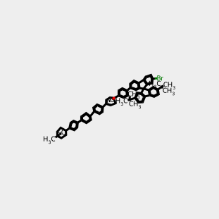 CC12CCC(c3ccc(-c4ccc(-c5ccc(C67CCC(c8ccc(-c9ccc%10c(c9)C9(c%11cc(Br)ccc%11-%10)c%10cc(C(C)(C)C)ccc%10-c%10ccc(C(C)(C)C)cc%109)cc8)(CC6)CC7)cc5)cc4)cc3)(CC1)CC2